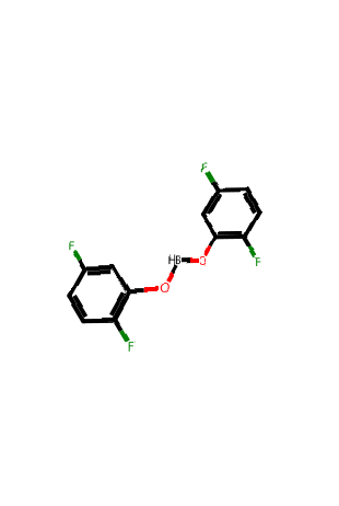 Fc1ccc(F)c(OBOc2cc(F)ccc2F)c1